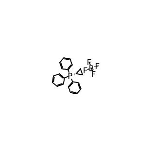 F[B-](F)(F)F.c1ccc([P+](c2ccccc2)(c2ccccc2)C2CC2)cc1